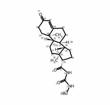 CCCCNC(=O)NC(=O)[C@H]1CC[C@H]2[C@@H]3CCC4=CC(=O)CC[C@]4(C)[C@H]3CC[C@]12C